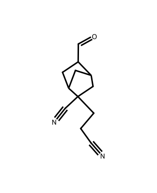 N#CCCC1(C#N)CC2CC1CC2C=O